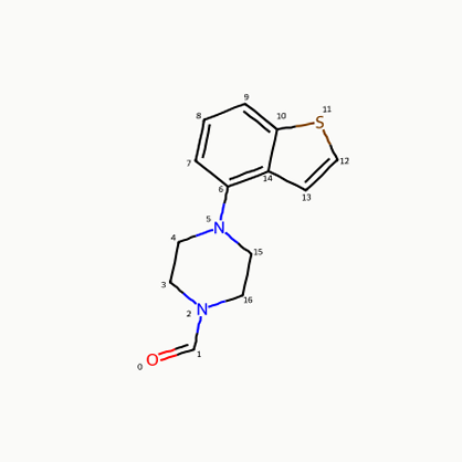 O=CN1CCN(c2cccc3sccc23)CC1